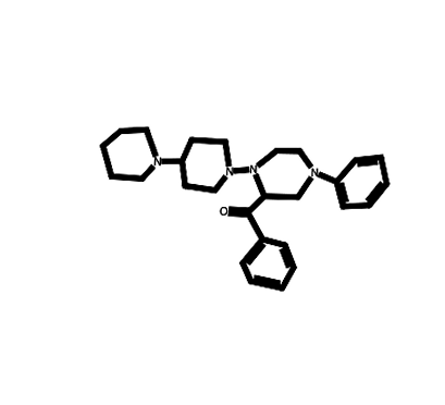 O=C(c1ccccc1)C1CN(c2ccccc2)CCN1N1CCC(N2CCCCC2)CC1